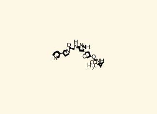 CC1(NC(=O)O[C@@H]2CO[C@H](c3cc(NCC(=O)N4CC[C@@H](c5cccnc5)C4)n[nH]3)C2)CC1